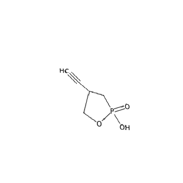 C#CC1COP(=O)(O)C1